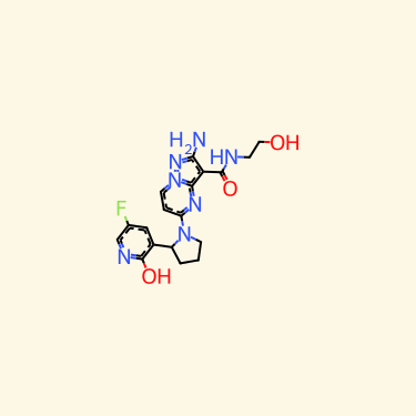 Nc1nn2ccc(N3CCCC3c3cc(F)cnc3O)nc2c1C(=O)NCCO